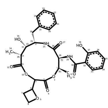 C[C@H]1OC(=O)C(C2CCO2)OC(=O)[C@H](C)[C@H](O)[C@H](Cc2ccccc2)NC(=O)[C@H]1NC(=O)c1ccccc1O